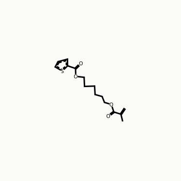 C=C(C)C(=O)OCCCCCCOC(=O)c1cccs1